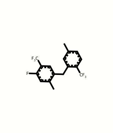 Cc1ccc(C(F)(F)F)c(Cc2cc(C(F)(F)F)c(F)cc2C)c1